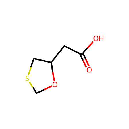 O=C(O)CC1CSCO1